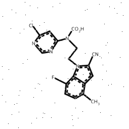 Cc1ccc(F)c2c1cc(C#N)n2CCN(C(=O)O)c1cc(Cl)ncn1